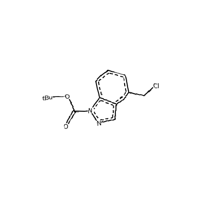 CC(C)(C)OC(=O)n1ncc2c(CCl)cccc21